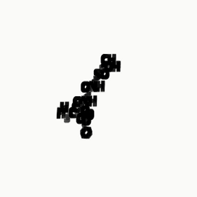 C[C@@H](O)CC(=O)SCCNC(=O)CCNC(=O)[C@@H]1OP(=O)(OCc2ccccc2)OCC1(C)C